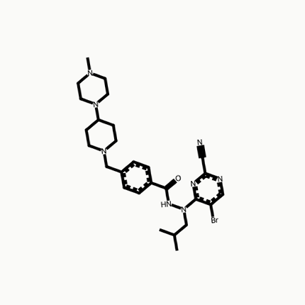 CC(C)CN(NC(=O)c1ccc(CN2CCC(N3CCN(C)CC3)CC2)cc1)c1nc(C#N)ncc1Br